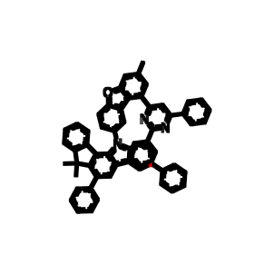 Cc1cc(-c2cc(-c3ccccc3)nc(-c3ccccc3)n2)c2c(c1)oc1ccc(-n3c4ccc(-c5ccccc5)cc4c4cc(-c5ccccc5)c5c(c43)-c3ccccc3C5(C)C)cc12